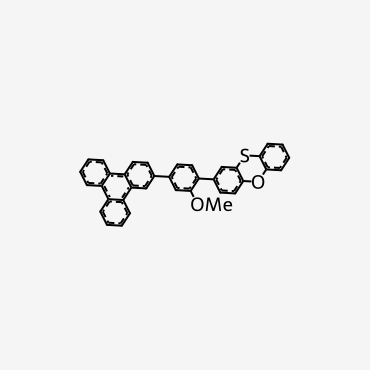 COc1cc(-c2ccc3c4ccccc4c4ccccc4c3c2)ccc1-c1ccc2c(c1)Sc1ccccc1O2